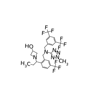 CCC(c1ccc(C(F)(F)F)cc1CN(Cc1cc(C(F)(F)F)cc(C(F)(F)F)c1)c1nnn(C)n1)N1CC(O)C1